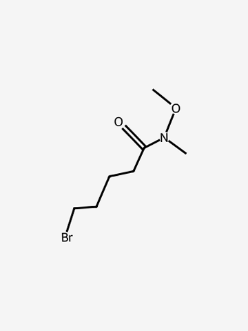 CON(C)C(=O)CCCCBr